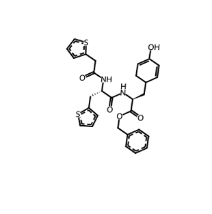 O=C(Cc1cccs1)N[C@@H](Cc1cccs1)C(=O)N[C@@H](CC1C=CC(O)=CC1)C(=O)OCc1ccccc1